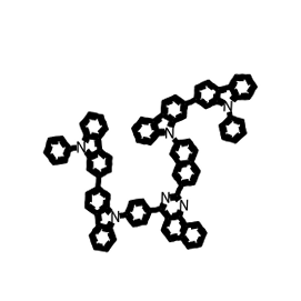 c1ccc(-n2c3ccccc3c3ccc(-c4ccc5c6ccccc6n(-c6ccc(-c7nc(-c8ccc9ccc(-n%10c%11ccccc%11c%11ccc(-c%12ccc%13c%14ccccc%14n(-c%14ccccc%14)c%13c%12)cc%11%10)cc9c8)nc8c7ccc7ccccc78)cc6)c5c4)cc32)cc1